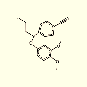 [CH2]CCC(Oc1ccc(OC)c(OC)c1)c1ccc(C#N)cc1